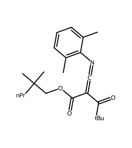 CCCC(C)(C)COC(=O)C(=C=Nc1c(C)cccc1C)C(=O)C(C)(C)C